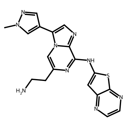 Cn1cc(-c2cnc3c(Nc4cc5nccnc5s4)nc(CCN)cn23)cn1